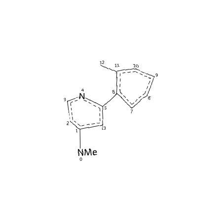 CNc1ccnc(-c2ccccc2C)c1